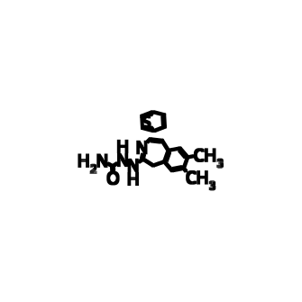 Cc1cc2c(cc1C)CC(NNC(N)=O)=NC=C2.c1cc2ccc1s2